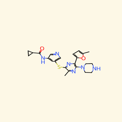 Cc1ccc(-c2nc(Sc3cncc(NC(=O)C4CC4)c3)c(C)nc2N2CCNCC2)o1